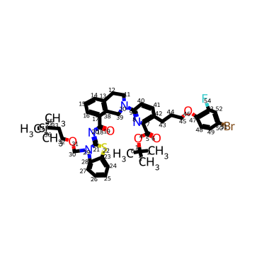 CC(C)(C)OC(=O)c1nc(N2CCc3cccc(C(=O)/N=c4\sc5ccccc5n4COCC[Si](C)(C)C)c3C2)ccc1CCCOc1ccc(Br)cc1F